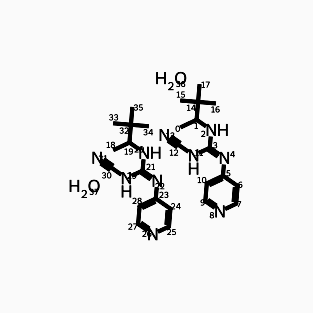 CC(N/C(=N/c1ccncc1)NC#N)C(C)(C)C.CC(N/C(=N/c1ccncc1)NC#N)C(C)(C)C.O.O